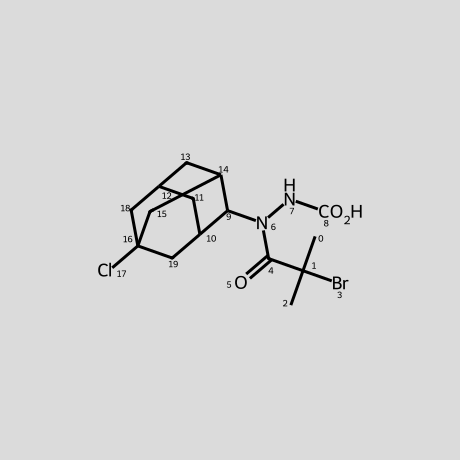 CC(C)(Br)C(=O)N(NC(=O)O)C1C2CC3CC1CC(Cl)(C3)C2